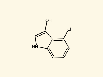 Oc1c[nH]c2cccc(Cl)c12